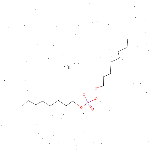 CCCCCCCCOOP(=O)([O-])OCCCCCCCC.[K+]